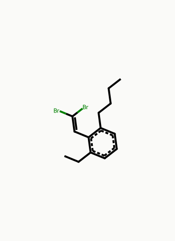 CCCCc1cccc(CC)c1C=C(Br)Br